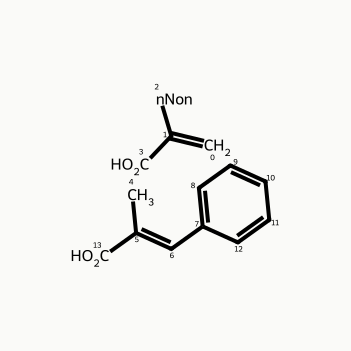 C=C(CCCCCCCCC)C(=O)O.CC(=Cc1ccccc1)C(=O)O